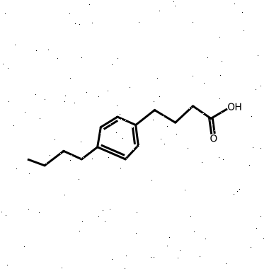 CCCCc1ccc(CCCC(=O)O)cc1